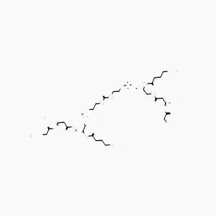 CCCCCCCCCCCCCC(=O)N[C@H](CNC(=O)C[C@@H](CCCCCCC)OC(=O)CCCCCCCCCCC)COP(=O)(O)OCCNC(=O)NCCOP(=O)(O)OC[C@@H](CNC(=O)C[C@@H](CCCCCCC)OC(=O)CCCCCCCCCCC)NC(=O)CCCCCCCCCCCCC